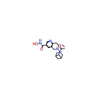 CC[C@H]1Cc2ncc(C(=O)NO)cc2CN1CC1C2CC1CN(C(C)=O)C2